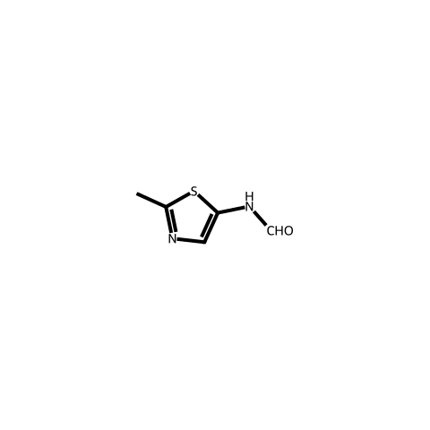 Cc1ncc(NC=O)s1